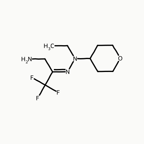 CCN(/N=C(\CN)C(F)(F)F)C1CCOCC1